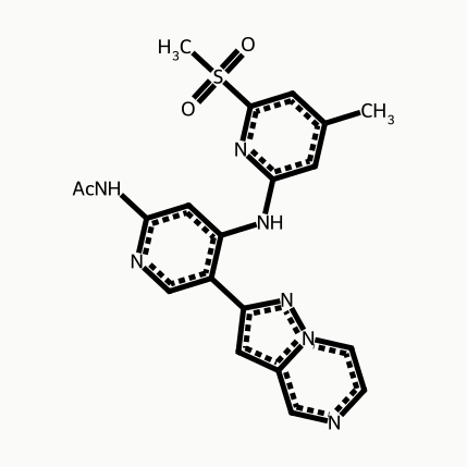 CC(=O)Nc1cc(Nc2cc(C)cc(S(C)(=O)=O)n2)c(-c2cc3cnccn3n2)cn1